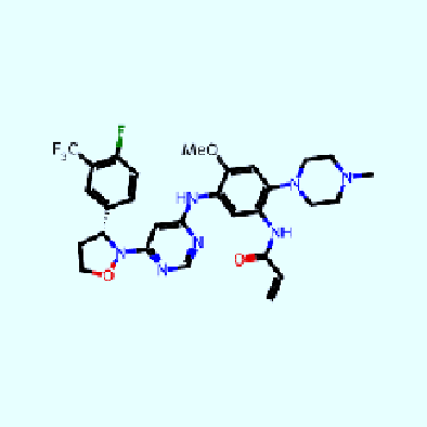 C=CC(=O)Nc1cc(Nc2cc(N3OCC[C@@H]3c3ccc(F)c(C(F)(F)F)c3)ncn2)c(OC)cc1N1CCN(C)CC1